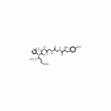 CSCC[C@@H](C(=O)O)N(C(=O)[C@H](C)NC(=O)CNC(=O)CNC(=O)[C@@H](N)Cc1ccc(O)cc1)c1ccsc1